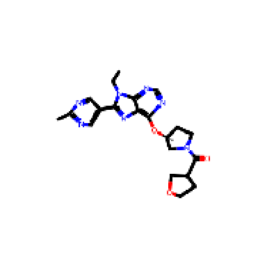 CCn1c(-c2cnc(C)nc2)nc2c(O[C@H]3CCN(C(=O)C4CCOC4)C3)ncnc21